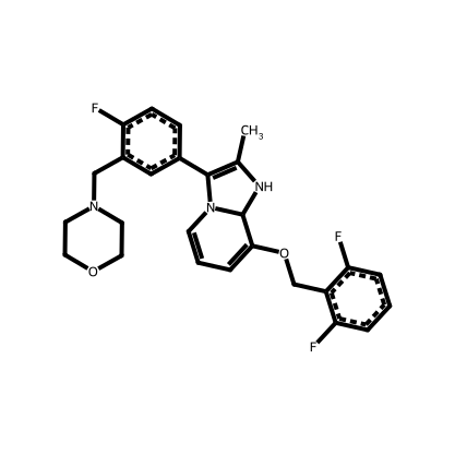 CC1=C(c2ccc(F)c(CN3CCOCC3)c2)N2C=CC=C(OCc3c(F)cccc3F)C2N1